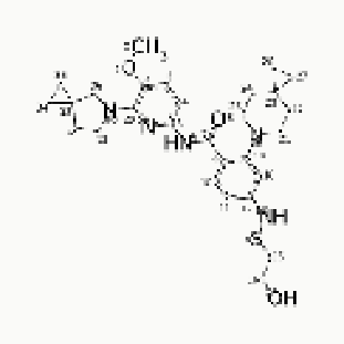 COc1ccc(NC(=O)c2ccc(NSCCO)cc2N2CCC3(CC2)CC3)nc1N1CCC2(CC2)C1